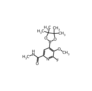 CNC(=O)c1cc(B2OC(C)(C)C(C)(C)O2)c(OC)c(F)n1